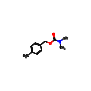 CCCN(C)C(=O)OCc1ccc([N+](=O)[O-])cc1